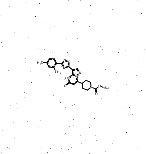 Cc1ccc(-c2noc(-c3cnn4c(C5CCN(C(=O)OC(C)(C)C)CC5)cc(=O)[nH]c34)n2)c(C)c1